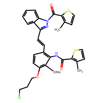 COc1c(OCCCCl)ccc(C=Cc2nn(C(=O)c3sccc3C)c3ccccc23)c1NC(=O)c1sccc1C